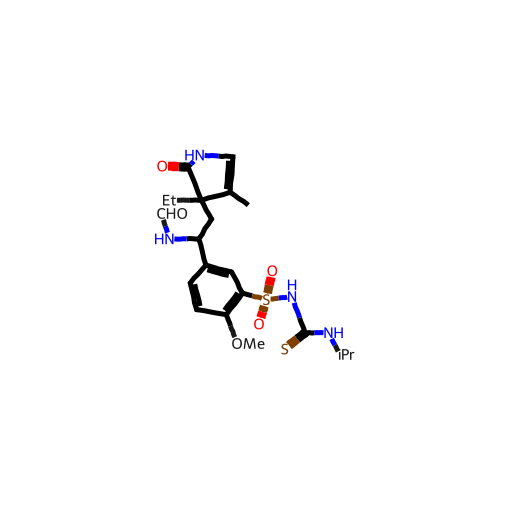 CCC1(CC(NC=O)c2ccc(OC)c(S(=O)(=O)NC(=S)NC(C)C)c2)C(=O)NC=C1C